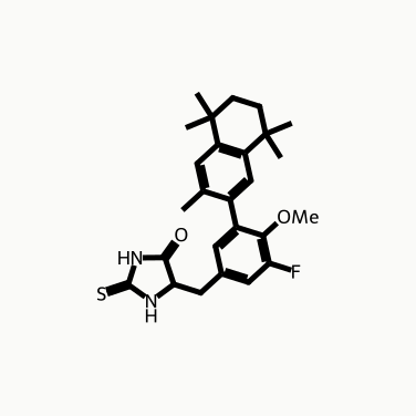 COc1c(F)cc(CC2NC(=S)NC2=O)cc1-c1cc2c(cc1C)C(C)(C)CCC2(C)C